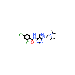 CC(C)N(CCn1ncc2c(NC(=O)c3ccc(Cl)cc3Cl)ncnc21)C(C)C